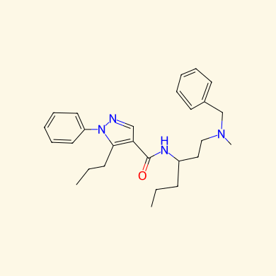 CCCc1c(C(=O)NC(CCC)CCN(C)Cc2ccccc2)cnn1-c1ccccc1